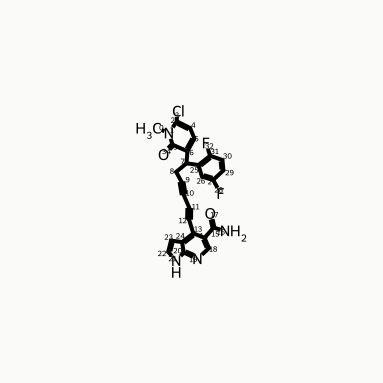 Cn1c(Cl)ccc(C(CC#CC#Cc2c(C(N)=O)cnc3[nH]ccc23)c2cc(F)ccc2F)c1=O